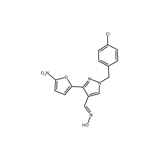 O=[N+]([O-])c1ccc(-c2nn(Cc3ccc(Cl)cc3)cc2C=NO)o1